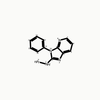 CCCNc1nc2cccnc2n1-c1ccccc1